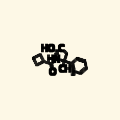 CC(CC(=O)O)(NC(=O)C1CCC1)c1ccccc1